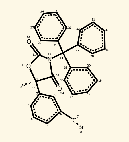 C[C@]1(c2cccc(CBr)c2)OC(=O)N(C(c2ccccc2)(c2ccccc2)c2ccccc2)C1=O